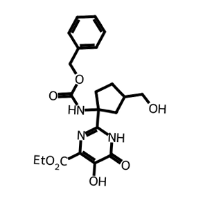 CCOC(=O)c1nc(C2(NC(=O)OCc3ccccc3)CCC(CO)C2)[nH]c(=O)c1O